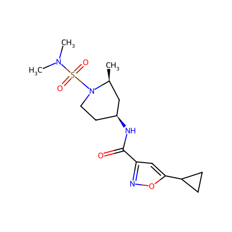 C[C@H]1C[C@@H](NC(=O)c2cc(C3CC3)on2)CCN1S(=O)(=O)N(C)C